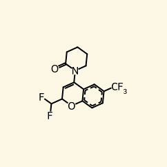 O=C1CCCCN1C1=CC(C(F)F)Oc2ccc(C(F)(F)F)cc21